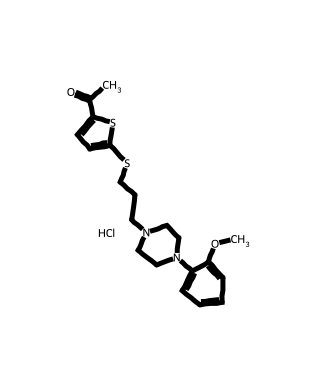 COc1ccccc1N1CCN(CCCSc2ccc(C(C)=O)s2)CC1.Cl